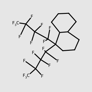 FC(F)(F)C(F)(F)C(F)(F)C(F)(F)C1(C(F)(F)C(F)(F)C(F)(F)C(F)(F)F)CCCC2CCCCC21